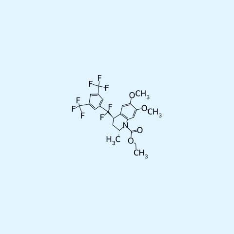 CCOC(=O)N1c2cc(OC)c(OC)cc2[C@H](C(F)(F)c2cc(C(F)(F)F)cc(C(F)(F)F)c2)C[C@H]1C